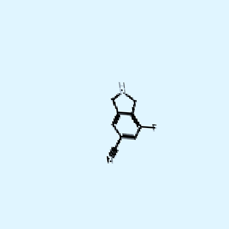 N#Cc1cc(F)c2c(c1)CNC2